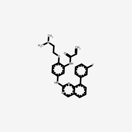 C=CC(=O)Nc1cc(Nc2ncc3cccc(-c4cccc(F)c4)c3n2)ccc1OCCN(C)C